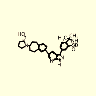 CC1(C)NS(=O)(=O)c2cc(-c3n[nH]c4ncc(-c5ccc6c(c5)CCC(N5CCC[C@@H]5CO)CC6)cc34)ccc21